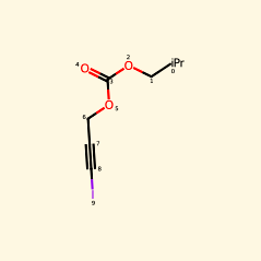 CC(C)COC(=O)OCC#CI